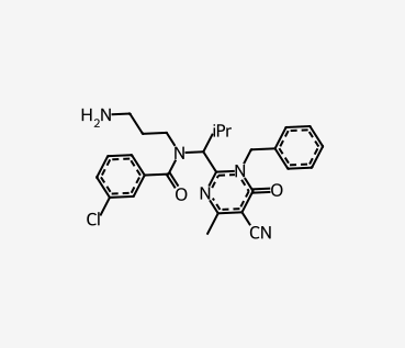 Cc1nc(C(C(C)C)N(CCCN)C(=O)c2cccc(Cl)c2)n(Cc2ccccc2)c(=O)c1C#N